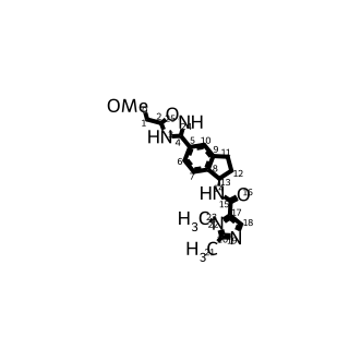 COCC1NC(c2ccc3c(c2)CC[C@H]3NC(=O)c2cnc(C)n2C)NO1